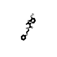 CCOc1cccn2c(C(=O)NCCOc3ccccc3)c(C)nc12